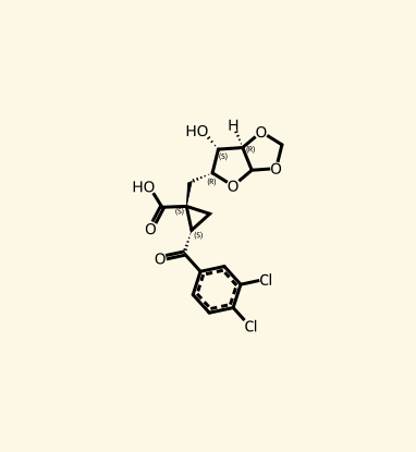 O=C(c1ccc(Cl)c(Cl)c1)[C@H]1C[C@@]1(C[C@H]1OC2OCO[C@@H]2[C@H]1O)C(=O)O